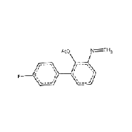 C=Nc1cccc(-c2ccc(F)cc2)c1OC(C)=O